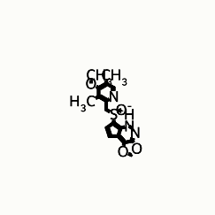 COc1c(C)cnc(C[S+]([O-])c2ccc3c4c(n[nH]c2-3)OCO4)c1C